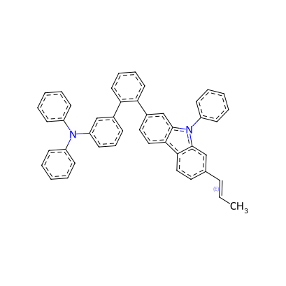 C/C=C/c1ccc2c3ccc(-c4ccccc4-c4cccc(N(c5ccccc5)c5ccccc5)c4)cc3n(-c3ccccc3)c2c1